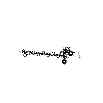 Cc1cc(C)c(C2=C(OCc3ccccc3)[C@]3(CC[C@@H](OCCOCCOCCOCCOCCOCCOCC(=O)O)CC3)OC2=O)c(C)c1